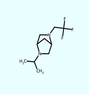 CC(C)N1CC2CC1CN2CC(F)(F)F